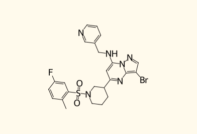 Cc1ccc(F)cc1S(=O)(=O)N1CCCC(c2cc(NCc3cccnc3)n3ncc(Br)c3n2)C1